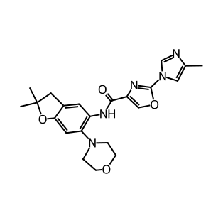 Cc1cn(-c2nc(C(=O)Nc3cc4c(cc3N3CCOCC3)OC(C)(C)C4)co2)cn1